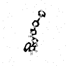 O=C1NCC2(CCCCC2)c2c1nn1cnc(Nc3ccc(N4CCC(N5CCOCC5)CC4)cn3)nc21